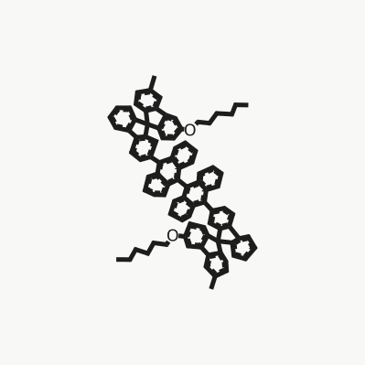 CCCCCCOc1ccc2c(c1)-c1cc(C)ccc1C21c2ccccc2-c2ccc(-c3c4ccccc4c(-c4c5ccccc5c(-c5ccc6c(c5)C5(c7ccccc7-6)c6ccc(C)cc6-c6cc(OCCCCCC)ccc65)c5ccccc45)c4ccccc34)cc21